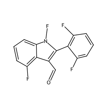 O=Cc1c(-c2c(F)cccc2F)n(F)c2cccc(F)c12